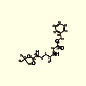 C[C@@H](CCNC(=O)OC(C)(C)C)NCC(=O)OCc1ccccc1